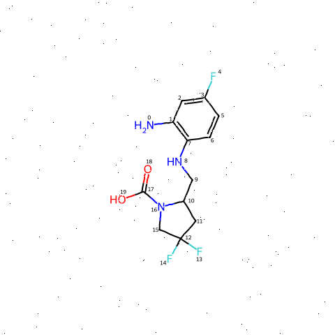 Nc1cc(F)ccc1NCC1CC(F)(F)CN1C(=O)O